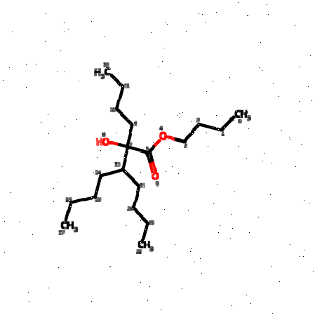 CCCCOC(=O)C(O)(CCCC)C(CCCC)CCCC